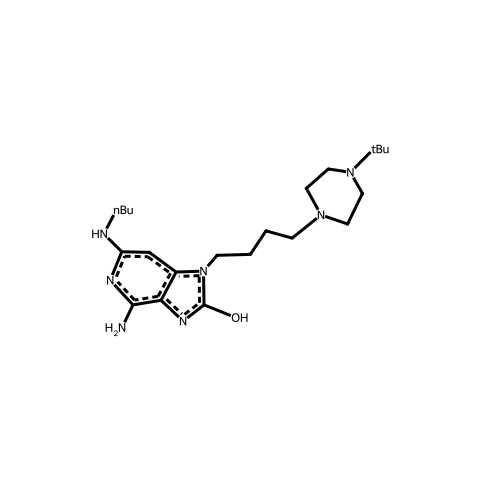 CCCCNc1cc2c(nc(O)n2CCCCN2CCN(C(C)(C)C)CC2)c(N)n1